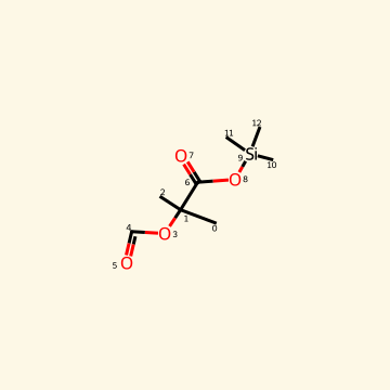 CC(C)(OC=O)C(=O)O[Si](C)(C)C